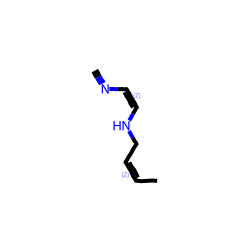 C=N/C=C\NC/C=C\C